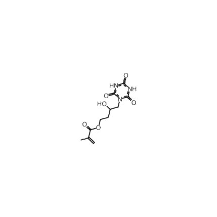 C=C(C)C(=O)OCCC(O)Cn1c(=O)[nH]c(=O)[nH]c1=O